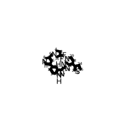 FC1(F)CCN(Cc2cncc(-c3ccc4[nH]nc(-c5nc6c(-c7ccsc7)ccnc6[nH]5)c4c3)c2)C1